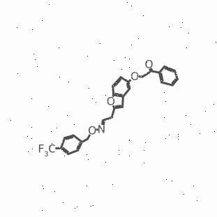 O=C(COc1ccc2oc(CC=NOCc3ccc(C(F)(F)F)cc3)cc2c1)c1ccccc1